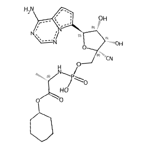 C[C@H](NP(=O)(O)OC[C@@]1(C#N)O[C@@H](c2ccc3c(N)ncnn23)[C@H](O)[C@@H]1O)C(=O)OC1CCCCC1